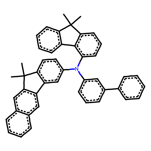 CC1(C)c2ccc(N(c3cccc(-c4ccccc4)c3)c3cccc4c3-c3ccccc3C4(C)C)cc2-c2cc3ccccc3cc21